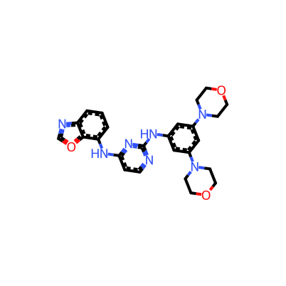 c1cc(Nc2ccnc(Nc3cc(N4CCOCC4)cc(N4CCOCC4)c3)n2)c2ocnc2c1